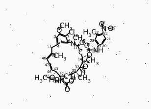 COc1cc2cc(c1Cl)N(C)C(=O)C[C@H](OC(=O)Nc1ccc([N+](=O)[O-])c(C)c1)[C@]1(C)O[C@H]1[C@H](C)[C@@H]1C[C@@](O)(NC(=O)O1)[C@H](OC)/C=C/C=C(\C)C2